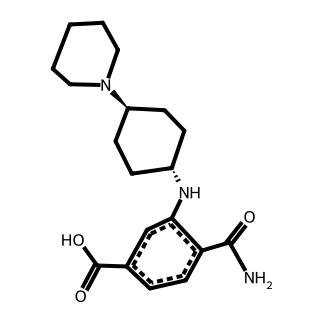 NC(=O)c1ccc(C(=O)O)cc1N[C@H]1CC[C@H](N2CCCCC2)CC1